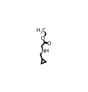 CCOC(=O)CNCC1CC1